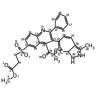 COC(=O)CCS(=O)(=O)c1ccc2nc(-c3ccccc3)c(C(=O)/C=C\C3=C(C)NNC3C)c(C(C)=O)c2c1